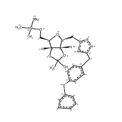 CC1(C)O[C@@H]2[C@H](O1)[C@@H](CO[Si](C)(C)C(C)(C)C)O[C@H]2Cn1nnc(Cc2ccc(Oc3ccccc3)cc2)n1